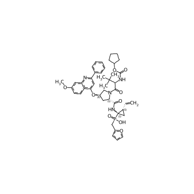 C=C[C@@H]1C[C@]1(NC(=O)[C@@H]1C[C@@H](Oc2cc(-c3ccccc3)nc3cc(OC)ccc23)CN1C(=O)C(NC(=O)OC1CCCC1)C(C)(C)C)P(=O)(O)Cc1ccco1